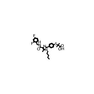 CCCCCn1c(-c2ccc(SC(C)(C)C(=O)O)cc2)nc(C(=O)NCc2ccc(F)cc2F)c1C